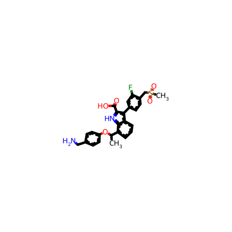 CC(Oc1ccc(CN)cc1)c1cccc2c(-c3ccc(CS(C)(=O)=O)c(F)c3)c(C(=O)O)[nH]c12